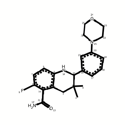 CC1(C)Cc2c(ccc(F)c2C(N)=O)NC1c1cccc(N2CCOCC2)c1